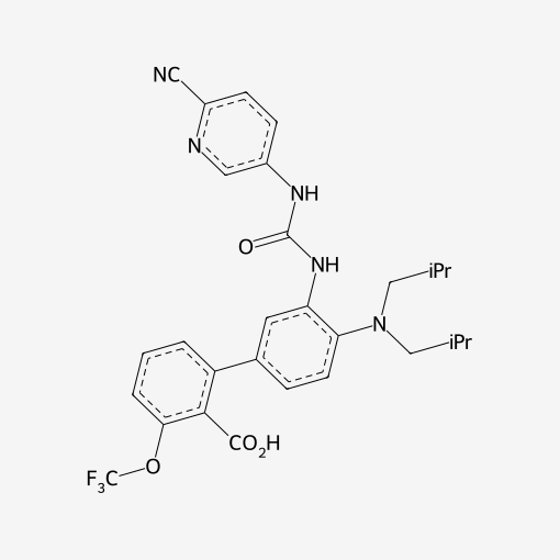 CC(C)CN(CC(C)C)c1ccc(-c2cccc(OC(F)(F)F)c2C(=O)O)cc1NC(=O)Nc1ccc(C#N)nc1